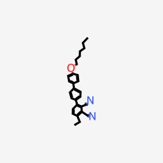 CCCCCCCOc1ccc(-c2ccc(-c3ccc(CC)c(C#N)c3C#N)cc2)cc1